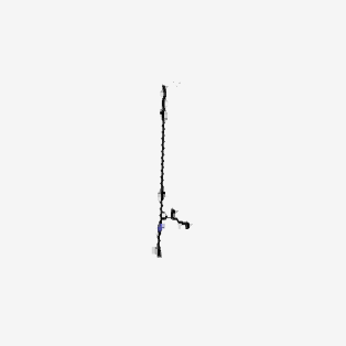 COCCOCCOCCC(=O)NCCCCCCCCCCCCCCCCCCCCCCCC(=O)NCCCCCCC(CN=C(B=O)CCCCNB(C)O)C/N=B\OCCCCCNB(C)O